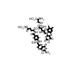 Cc1cc2nc3c(=O)[nH]c(=O)nc-3n(C[C@H](O)[C@H](O)[C@H](O)CO)c2cc1C.N[C@@H](CS)C(=O)O.Nc1nc(=O)c2nc(CNc3ccc(C(=O)N[C@@H](CCC(=O)OC(=O)O)C(=O)O)cc3)cnc2[nH]1.[CaH2]